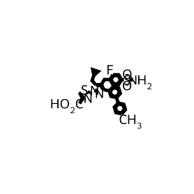 Cc1ccc(-c2cccc(-c3nn(-c4nc(C(=O)O)cs4)c(CC4CC4)c3Cc3ccc(S(N)(=O)=O)cc3F)c2)cc1